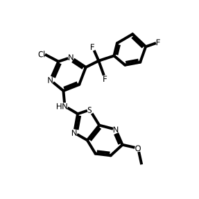 COc1ccc2nc(Nc3cc(C(F)(F)c4ccc(F)cc4)nc(Cl)n3)sc2n1